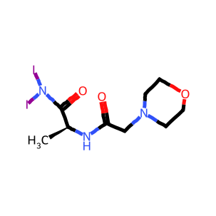 C[C@H](NC(=O)CN1CCOCC1)C(=O)N(I)I